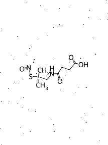 CC(C)(CNC(=O)CCC(=O)O)SN=O